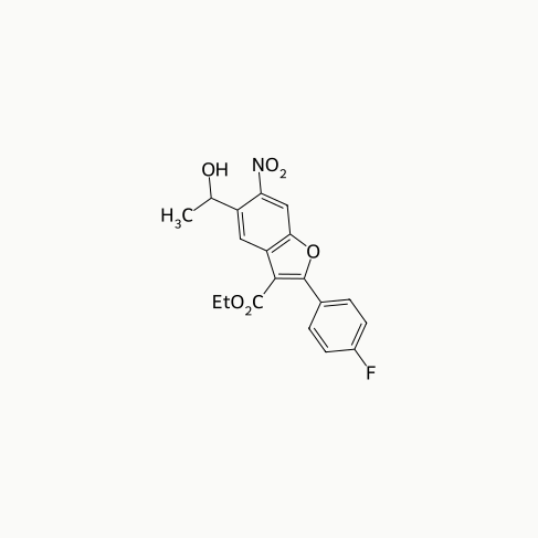 CCOC(=O)c1c(-c2ccc(F)cc2)oc2cc([N+](=O)[O-])c(C(C)O)cc12